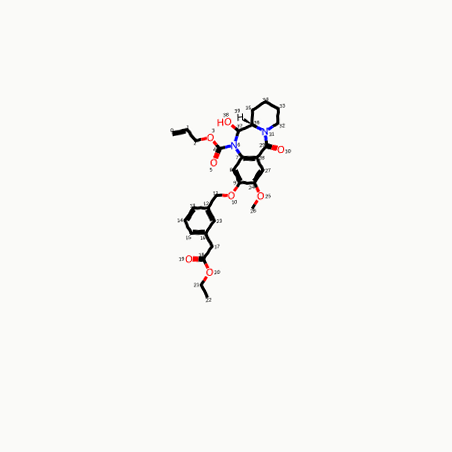 C=CCOC(=O)N1c2cc(OCc3cccc(CC(=O)OCC)c3)c(OC)cc2C(=O)N2CCCC[C@H]2C1O